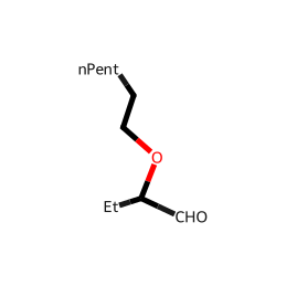 CCCCCCCOC(C=O)CC